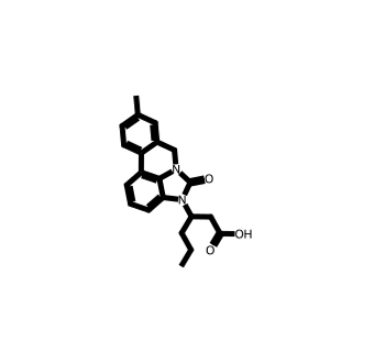 CCCC(CC(=O)O)n1c(=O)n2c3c(cccc31)-c1ccc(C)cc1C2